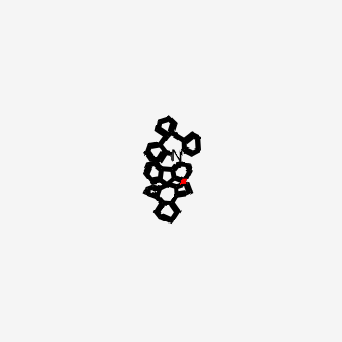 c1ccc2c(c1)-c1ccccc1N(c1cccc3c1-c1ccccc1C31c3ccccc3-c3ccccc3-c3ccccc31)c1ccccc1-2